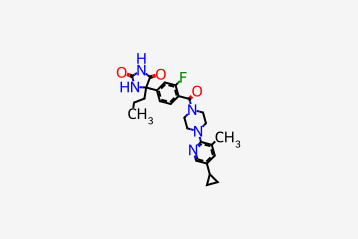 CCCC1(c2ccc(C(=O)N3CCN(c4ncc(C5CC5)cc4C)CC3)c(F)c2)NC(=O)NC1=O